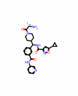 C[C@H](N)C(=O)N1CCC(C(NC(=O)c2cc(C3CC3)on2)c2cccc(C(=O)Nc3cccnc3)c2)CC1